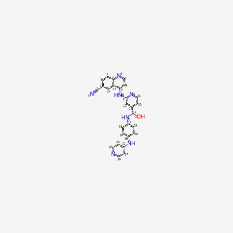 N#Cc1ccc2nccc(Nc3cc(C(O)Nc4ccc(Nc5ccncc5)cc4)ccn3)c2c1